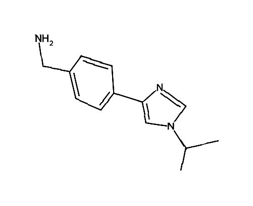 CC(C)n1cnc(-c2ccc(CN)cc2)c1